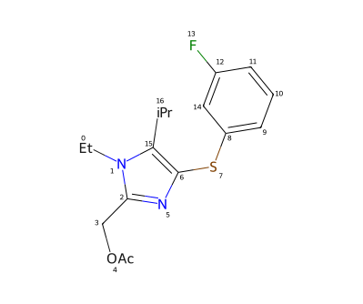 CCn1c(COC(C)=O)nc(Sc2cccc(F)c2)c1C(C)C